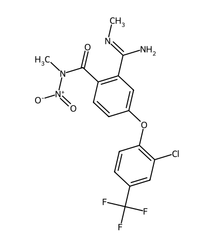 CN=C(N)c1cc(Oc2ccc(C(F)(F)F)cc2Cl)ccc1C(=O)N(C)[N+](=O)[O-]